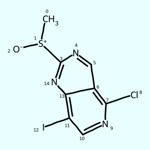 C[S+]([O-])c1ncc2c(Cl)ncc(I)c2n1